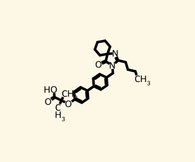 CCCCC1=NC2(CCCCC2)C(=O)N1Cc1ccc(-c2ccc(OC(C)(C)C(=O)O)cc2)cc1